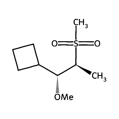 CO[C@H](C1CCC1)[C@H](C)S(C)(=O)=O